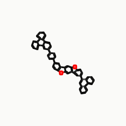 c1ccc2c(c1)cc(-c1ccc3oc4cc5c(cc4c3c1)oc1ccc(-c3ccc(-c4ccc6c7ccccc7c7ccccc7c6c4)cc3)cc15)c1ccccc12